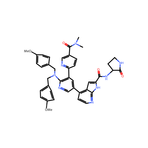 COc1ccc(CN(Cc2ccc(OC)cc2)c2ncc(-c3ccnc4[nH]c(C(=O)NC5CCNC5=O)cc34)cc2-c2ccc(C(=O)N(C)C)cn2)cc1